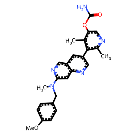 COc1ccc(CN(C)c2cc3ncc(-c4c(C)ncc(OC(N)=O)c4C)cc3cn2)cc1